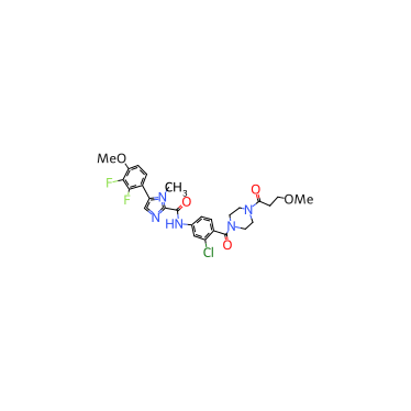 COCCC(=O)N1CCN(C(=O)c2ccc(NC(=O)c3ncc(-c4ccc(OC)c(F)c4F)n3C)cc2Cl)CC1